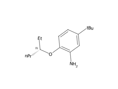 CCC[C@H](CC)Oc1ccc(C(C)(C)C)cc1N